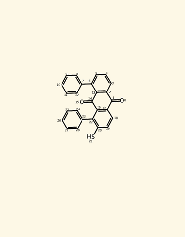 O=C1c2cccc(-c3ccccc3)c2C(=O)c2c1ccc(S)c2-c1ccccc1